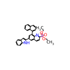 CCOP(=O)(OCC)c1ccc2cc(-c3cc4ccccc4[nH]3)cc(-c3cccc4ccccc34)c2n1